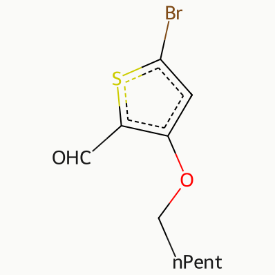 CCCCCCOc1cc(Br)sc1C=O